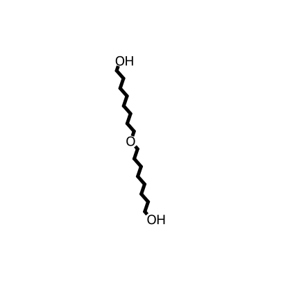 OCCCCCCCCOCCCCCCCCO